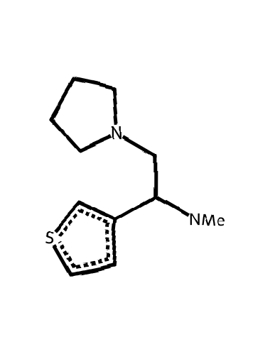 CNC(CN1CCCC1)c1ccsc1